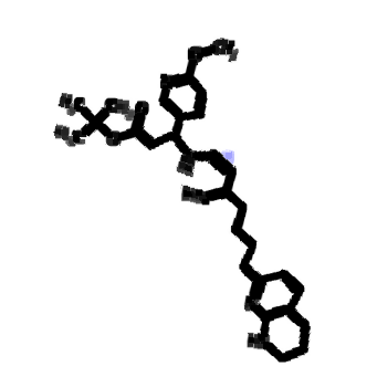 COc1ccc(C(CC(=O)OC(C)(C)C)N/C=C\C(=N)CCCCc2ccc3c(n2)NCCC3)cn1